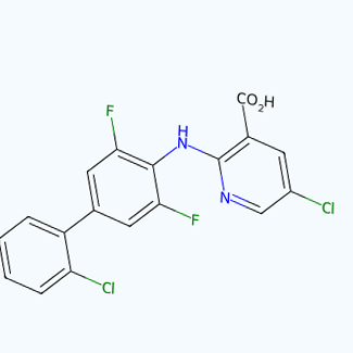 O=C(O)c1cc(Cl)cnc1Nc1c(F)cc(-c2ccccc2Cl)cc1F